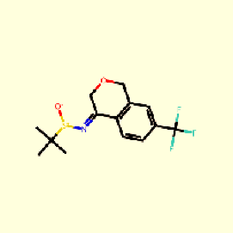 CC(C)(C)[S+]([O-])N=C1COCc2cc(C(F)(F)F)ccc21